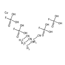 CC#N.CC#N.CC#N.CC#N.O=P(O)(O)F.O=P(O)(O)F.O=P(O)(O)F.O=P(O)(O)F.[Cu]